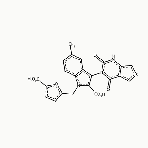 CCOC(=O)c1ccc(Cn2c(C(=O)O)c(-n3c(=O)[nH]c4cscc4c3=O)c3cc(C(F)(F)F)ccc32)o1